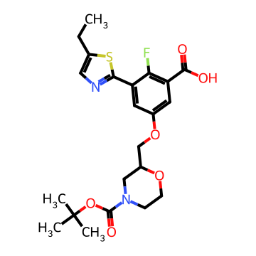 CCc1cnc(-c2cc(OCC3CN(C(=O)OC(C)(C)C)CCO3)cc(C(=O)O)c2F)s1